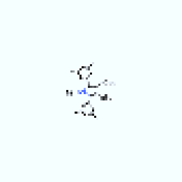 CCCCCCCCC1=C(c2cc(C)cc(C)c2)[N+](=[N-])C(c2cc(C)cc(C)c2)=C1CCCC.[Ni]